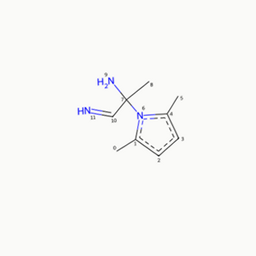 Cc1ccc(C)n1C(C)(N)C=N